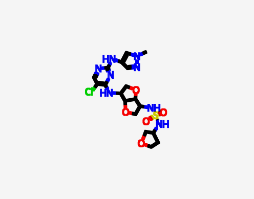 Cn1cc(Nc2ncc(Cl)c(NC3COC4C(NS(=O)(=O)NC5CCOC5)COC34)n2)cn1